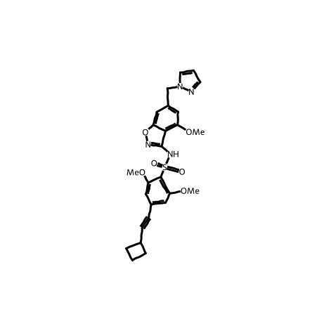 COc1cc(C#CC2CCC2)cc(OC)c1S(=O)(=O)Nc1noc2cc(Cn3cccn3)cc(OC)c12